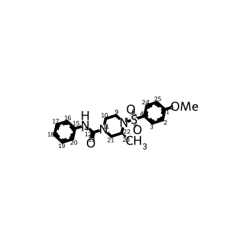 COc1ccc(S(=O)(=O)N2CCN(C(=O)Nc3ccccc3)C[C@@H]2C)cc1